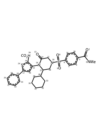 CNC(=O)c1ccc(S(=O)(=O)N2CC(=O)N(c3cc(-c4ccccc4)sc3C(=O)O)C(C3CCCCC3)C2)cc1